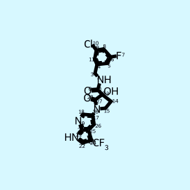 O=C(NCc1cc(F)cc(Cl)c1)C1(O)CCN(c2cnc3[nH]cc(C(F)(F)F)c3c2)C1=O